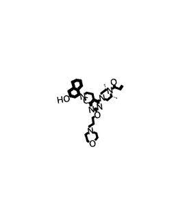 C=CC(=O)N1[C@H](C)CN(c2nc(OCCCN3CCOCC3)nc3c2CCN(c2cc(O)cc4ccccc24)C3)C[C@@H]1C